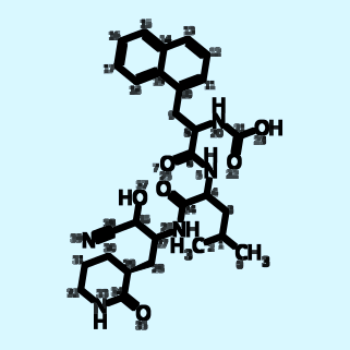 CC(C)CC(NC(=O)C(Cc1cccc2ccccc12)NC(=O)O)C(=O)NC(C[C@@H]1CCCNC1=O)C(O)C#N